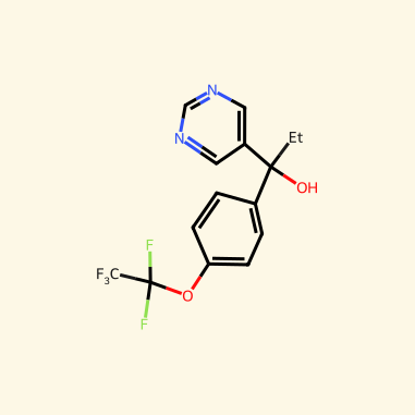 CCC(O)(c1ccc(OC(F)(F)C(F)(F)F)cc1)c1cncnc1